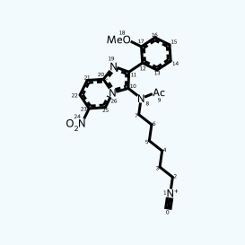 C#[N+]CCCCCCN(C(C)=O)c1c(-c2ccccc2OC)nc2ccc([N+](=O)[O-])cn12